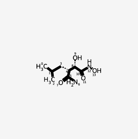 CC(C)C[C@@H](C(N)=O)[C@H](O)C(=O)NO